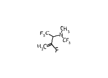 C=C(F)C(N(C)C(F)(F)F)C(F)(F)F